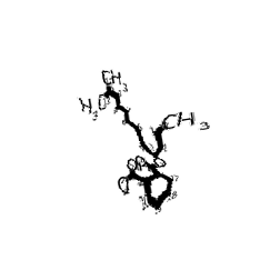 CCCC(CCCCCCC(C)C)OC(=O)C1CC=CCC1C(=O)O